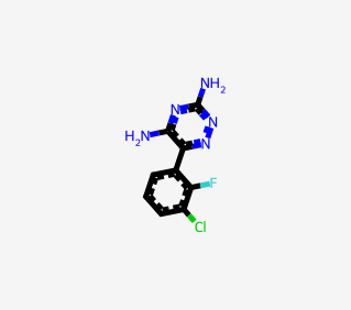 Nc1nnc(-c2cccc(Cl)c2F)c(N)n1